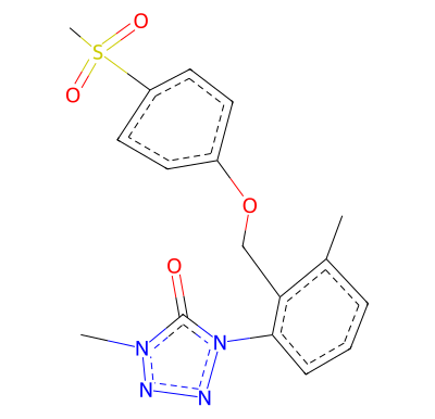 Cc1cccc(-n2nnn(C)c2=O)c1COc1ccc(S(C)(=O)=O)cc1